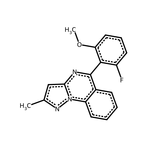 COc1cccc(F)c1-c1nc2cc(C)nn2c2ccccc12